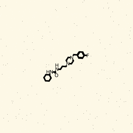 O=C(NCCCN1CCN(Cc2ccc(F)cc2)CC1)NC1CCCCC1